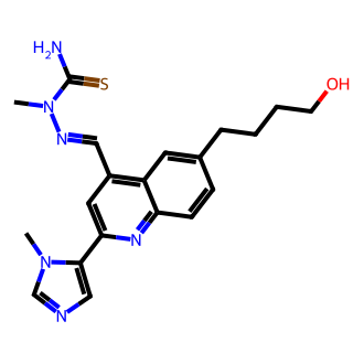 CN(/N=C/c1cc(-c2cncn2C)nc2ccc(CCCCO)cc12)C(N)=S